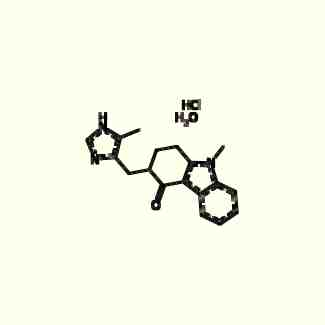 Cc1[nH]cnc1CC1CCc2c(c3ccccc3n2C)C1=O.Cl.O